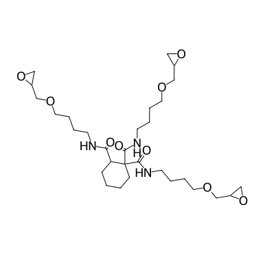 O=C(NCCCCOCC1CO1)C1CCCCC1(C(=O)NCCCCOCC1CO1)C(=O)NCCCCOCC1CO1